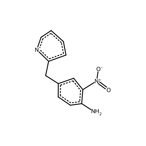 Nc1ccc(Cc2ccccn2)cc1[N+](=O)[O-]